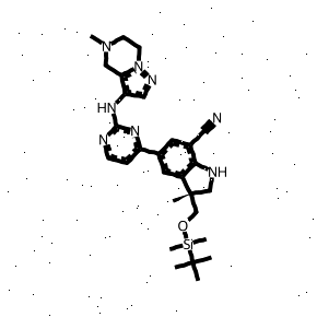 CN1CCn2ncc(Nc3nccc(-c4cc(C#N)c5c(c4)[C@@](C)(CO[Si](C)(C)C(C)(C)C)CN5)n3)c2C1